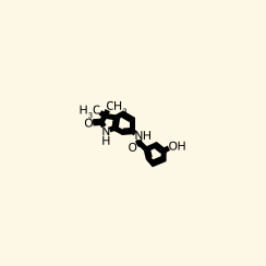 CC1(C)C(=O)Nc2cc(NC(=O)c3cccc(O)c3)ccc21